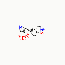 O=C(O)c1ccncc1C=Cc1ccc2c(c1)CCNC2=O